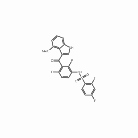 COc1ccnc2[nH]cc(C(=O)c3c(F)ccc(NS(=O)(=O)c4ccc(F)cc4F)c3F)c12